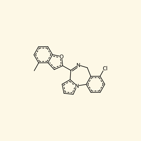 Cc1cccc2oc(C3=NCc4c(Cl)cccc4-n4cccc43)cc12